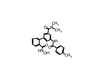 Cc1ccc(C(=O)Nc2cc(C(=O)N(C)C)cc(-c3ccccc3C(=O)NO)c2)cc1